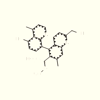 Cc1cc2nc(CO)ccc2c(-c2ccc(O)c3c(C)ccnc23)c1[C@H](OC(C)(C)C)C(=O)O